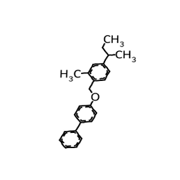 CCC(C)c1ccc(COc2ccc(-c3ccccc3)cc2)c(C)c1